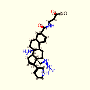 [N-]=[N+]=NC[C@]12CCC3C4C=CC(C(=O)NCCC(=O)N=O)=CC4CC[C@@]3(N)C1CC=C2C1=CCCNC1